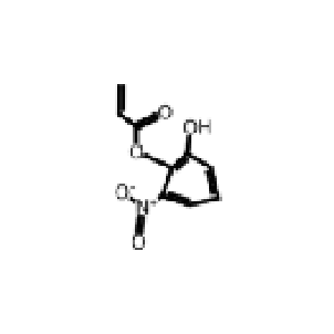 C=CC(=O)Oc1c(O)cccc1[N+](=O)[O-]